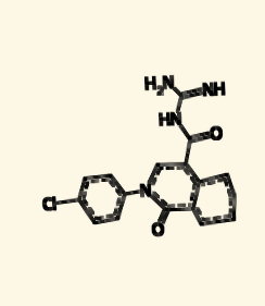 N=C(N)NC(=O)c1cn(-c2ccc(Cl)cc2)c(=O)c2ccccc12